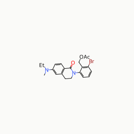 CCN(C)c1ccc2c(c1)CCN(c1cccc(Br)c1COC(C)=O)C2=O